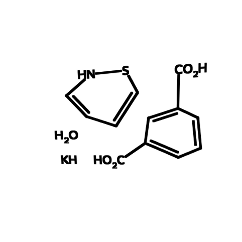 C1=CNSC=C1.O.O=C(O)c1cccc(C(=O)O)c1.[KH]